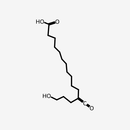 O=C=C(CCCO)CCCCCCCCCCC(=O)O